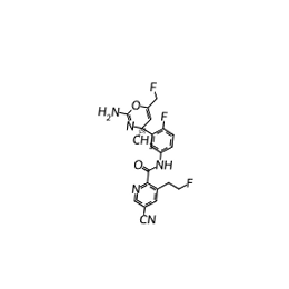 C[C@@]1(c2cc(NC(=O)c3ncc(C#N)cc3CCF)ccc2F)C=C(CF)OC(N)=N1